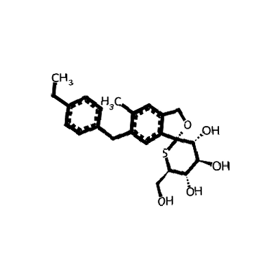 CCc1ccc(Cc2cc3c(cc2C)CO[C@]32S[C@H](CO)[C@@H](O)[C@H](O)[C@H]2O)cc1